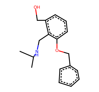 CC(C)NCc1c(CO)cccc1OCc1ccccc1